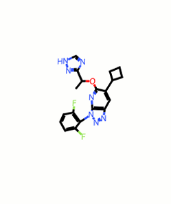 CC(Oc1nc2c(cc1C1CCC1)nnn2-c1c(F)cccc1F)c1nc[nH]n1